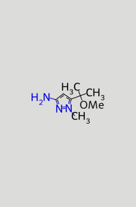 COC(C)(C)c1cc(N)nn1C